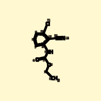 CCOC(=O)Nc1cccc(Cl)c1C#N